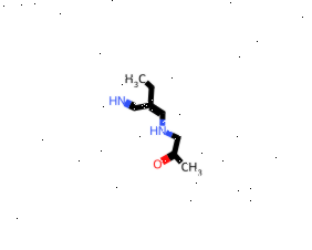 CC/C(C=N)=C/NCC(C)=O